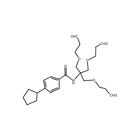 O=CCCOCC(COCCC=O)(COCCC=O)NC(=O)c1ccc(C2CCCC2)cc1